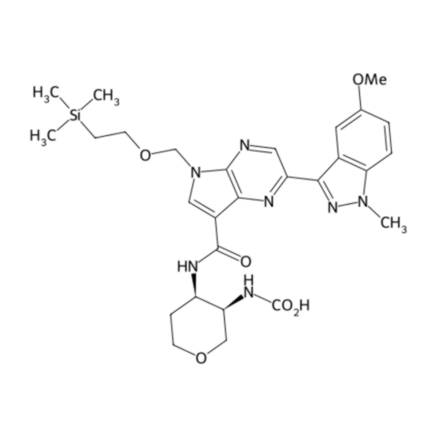 COc1ccc2c(c1)c(-c1cnc3c(n1)c(C(=O)N[C@@H]1CCOC[C@@H]1NC(=O)O)cn3COCC[Si](C)(C)C)nn2C